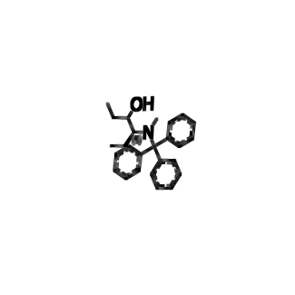 CCC(O)[C@H](CC)N(C)C(c1ccccc1)(c1ccccc1)c1ccccc1